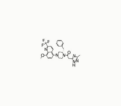 COc1ccc(N2CCN(C(=O)Cc3nc(C)n[nH]3)[C@@H](Cc3ccccc3)C2)c2ccc(C(F)(F)F)nc12